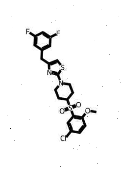 COc1ccc(Cl)cc1S(=O)(=O)C1CCN(c2nc(Cc3cc(F)cc(F)c3)cs2)CC1